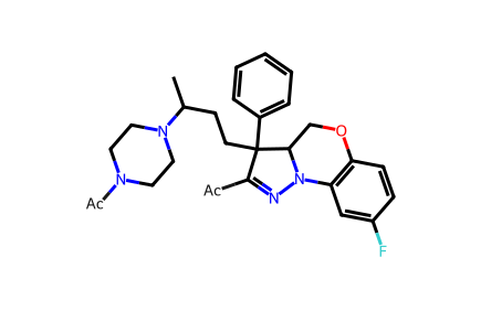 CC(=O)C1=NN2c3cc(F)ccc3OCC2C1(CCC(C)N1CCN(C(C)=O)CC1)c1ccccc1